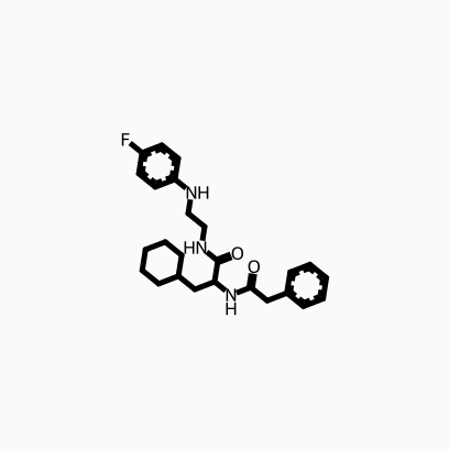 O=C(Cc1ccccc1)NC(CC1CCCCC1)C(=O)NCCNc1ccc(F)cc1